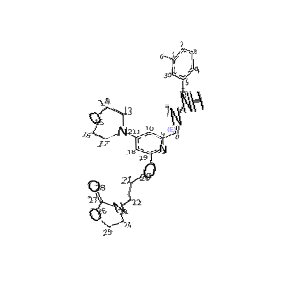 Cc1cccc(N/N=C/c2cc(N3CCOCC3)cc(OCCN3CCOC3=O)n2)c1